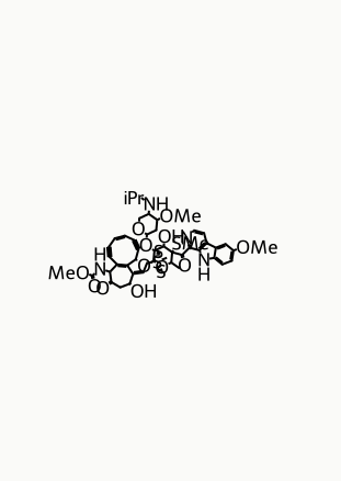 COC(=O)NC1C(=O)C[C@H](O)/C(=C/CS(C)(=S)=S)C2=C1C#C/C=C\C#C[C@@H]2OC1OC(C)C(SC)(C(=O)c2nccc3c2[nH]c2ccc(OC)cc23)C(O)C1OC1CC(OC)C(NC(C)C)CO1